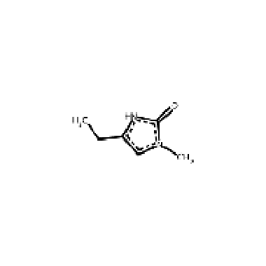 CCc1cn(C)c(=O)[nH]1